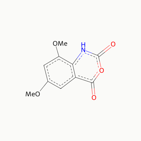 COc1cc(OC)c2[nH]c(=O)oc(=O)c2c1